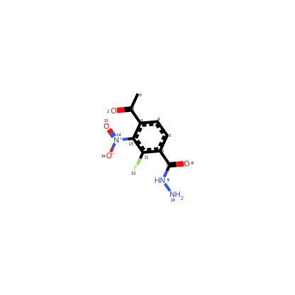 CC(=O)c1ccc(C(=O)NN)c(F)c1[N+](=O)[O-]